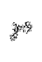 C=CCC1CN(CC(O)c2ccnc3ccc(OC)cc23)CCC12CN(c1ccc3c(c1)OCCO3)C(=O)O2